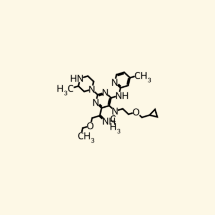 CCOCC(=N)c1nc(N2CCNC(C)C2)nc(Nc2cc(C)ccn2)c1N(C)CCOCC1CC1